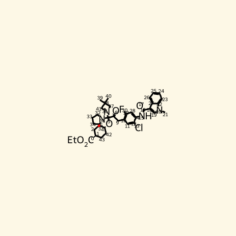 CCOC(=O)[C@H]1CC[C@H](OC(C(=O)Cc2cc(Cl)c(NC(=O)c3cn(C)c4ccccc34)cc2F)(N2CCCC2)N2CC(C)(C)C2)CC1